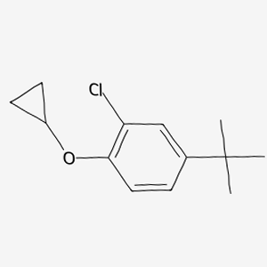 CC(C)(C)c1ccc(OC2CC2)c(Cl)c1